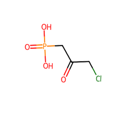 O=C(CCl)CP(=O)(O)O